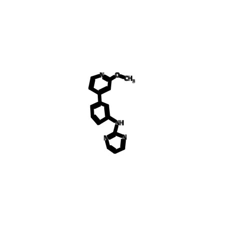 COc1cc(-c2cccc(Nc3ncccn3)c2)ccn1